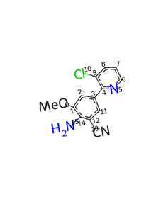 COc1cc(-c2ncccc2Cl)cc(C#N)c1N